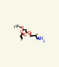 C=CC(=O)OC(CCOCCCN)OCCC